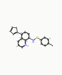 Cc1ccc(SNc2ccc(C3=CC=CC3)c3cccnc23)cc1